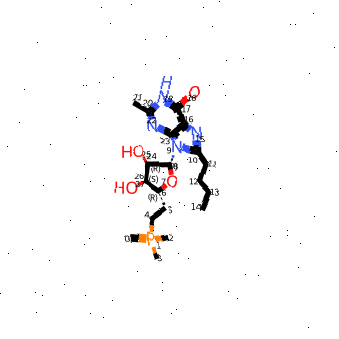 C=P(C)(C)CC[C@H]1O[C@@H](n2c(CCCC)nc3c(=O)[nH]c(C)nc32)[C@H](O)[C@@H]1O